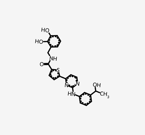 CC(O)c1cccc(Nc2nccc(-c3ccc(C(=O)NCc4cccc(O)c4O)s3)n2)c1